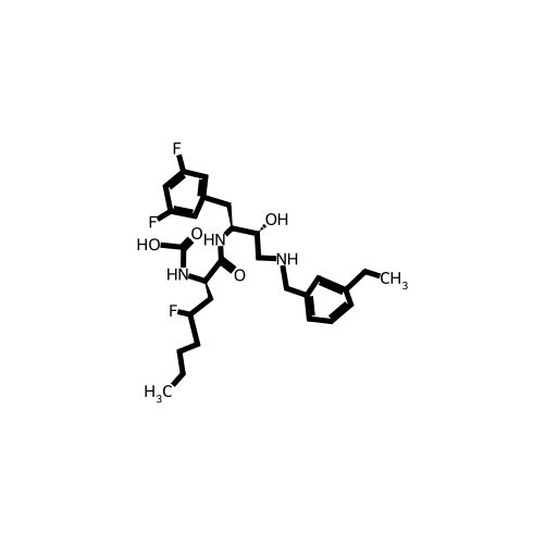 CCCCC(F)C[C@@H](NC(=O)O)C(=O)N[C@@H](Cc1cc(F)cc(F)c1)[C@H](O)CNCc1cccc(CC)c1